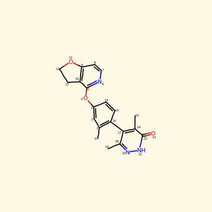 Cc1cc(Oc2nccc3c2CCO3)ccc1-c1c(C)n[nH]c(=O)c1C